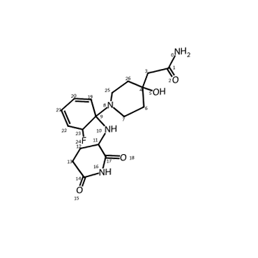 NC(=O)CC1(O)CCN(C2(NC3CCC(=O)NC3=O)C=CC=CC2F)CC1